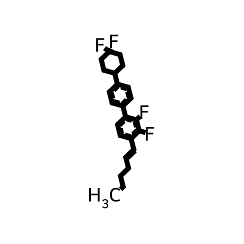 CCCC/C=C/c1ccc(-c2ccc(C3CCC(F)(F)CC3)cc2)c(F)c1F